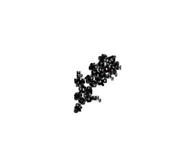 Cc1cn([C@H]2CN(C)C[C@@H](COP(=O)(N(C)C)N3C[C@@H](COP(=O)(N(C)C)N4C[C@@H](COP(=O)(N(C)C)N5C[C@@H](COP(=O)(N(C)C)N6C[C@@H](COP(=O)(N(C)C)N7C[C@@H](COP(C)(=O)N(C)C)O[C@@H](n8ccc(N)nc8=O)C7)O[C@@H](n7cnc8c(N)ncnc87)C6)O[C@@H](n6cc(C)c(=O)[nH]c6=O)C5)O[C@@H](n5ccc(N)nc5=O)C4)O[C@@H](n4ccc(N)nc4=O)C3)O2)c(=O)[nH]c1=O